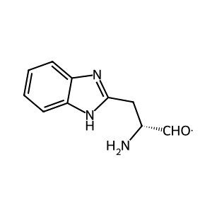 N[C@@H]([C]=O)Cc1nc2ccccc2[nH]1